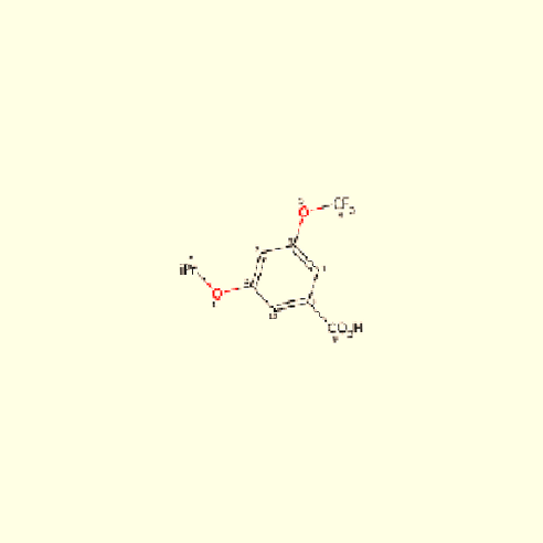 CC(C)Oc1cc(OC(F)(F)F)cc(C(=O)O)c1